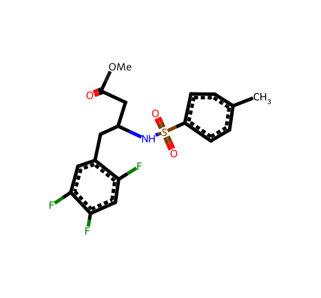 COC(=O)CC(Cc1cc(F)c(F)cc1F)NS(=O)(=O)c1ccc(C)cc1